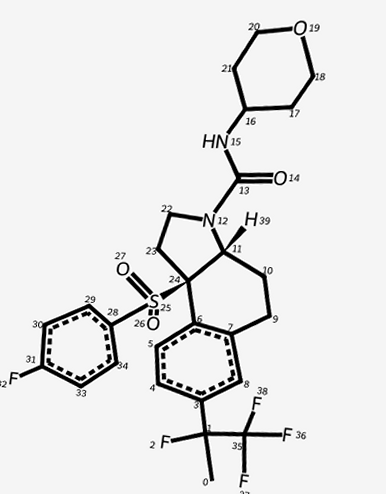 CC(F)(c1ccc2c(c1)CC[C@H]1N(C(=O)NC3CCOCC3)CC[C@@]21S(=O)(=O)c1ccc(F)cc1)C(F)(F)F